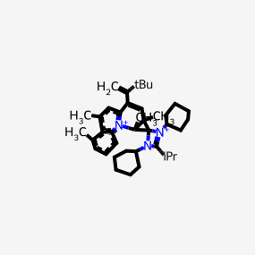 C=C(C1=CC2(C)C3(N(C4CCCCC4)C(C(C)C)=[N+]3C3CCCCC3)C2(C)[n+]2c1cc(C)c1c(C)cccc12)C(C)(C)C